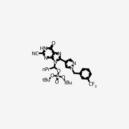 CCCC(OP(=O)(OC(C)(C)C)OC(C)(C)C)n1c(-c2cnn(Cc3cccc(C(F)(F)F)c3)c2)nc2c(=O)[nH]c(C#N)nc21